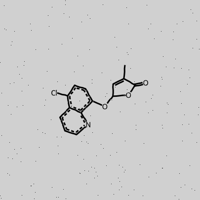 CC1=CC(Oc2ccc(Cl)c3cccnc23)OC1=O